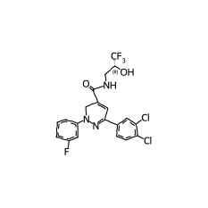 O=C(NC[C@@H](O)C(F)(F)F)C1=CC(c2ccc(Cl)c(Cl)c2)=NN(c2cccc(F)c2)C1